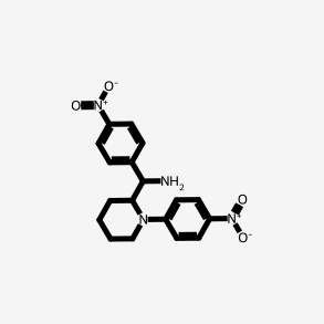 NC(c1ccc([N+](=O)[O-])cc1)C1CCCCN1c1ccc([N+](=O)[O-])cc1